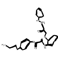 CCCCc1ccc(NC(=O)C(=O)Nc2ccccc2OCC(=O)NNc2ccccc2)cc1